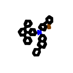 c1ccc(-c2cccc(-c3ccccc3)c2-c2ccc(N(c3ccc4ccc(C5CCCCC5)cc4c3)c3ccc4c(c3)sc3ccccc34)cc2)cc1